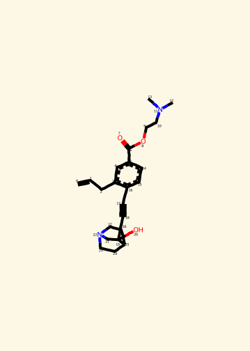 C=CCc1cc(C(=O)OCCN(C)C)ccc1C#CC1(O)CN2CCC1CC2